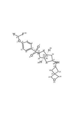 O=S(=O)(c1ccc(OC(F)F)cc1)N1C[C@H]2CC(NC3CC4(COC4)C3)C[C@H]2C1